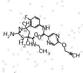 C#CCOc1cnc(C(=O)Nc2ccc(F)c([C@]3(C)C[C@](C)(C(=O)NCC)SC(N)=N3)c2)cn1